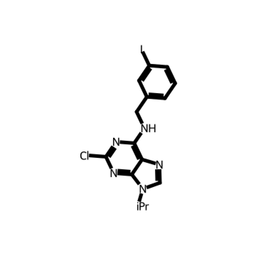 CC(C)n1cnc2c(NCc3cccc(I)c3)nc(Cl)nc21